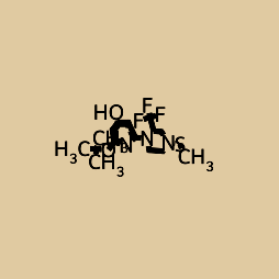 CSN1CCN(c2cc(O)cc(OC(C)(C)C)n2)C(C(F)(F)F)C1